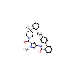 Cn1cc(NC(=O)c2ccccc2-c2ccc(C(F)(F)F)cc2)cc1C(=O)N1CCC(C#N)(c2ccccc2)CC1